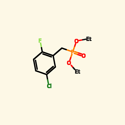 CCOP(=O)(Cc1cc(Cl)ccc1F)OCC